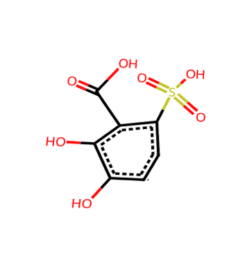 O=C(O)c1c(S(=O)(=O)O)c[c]c(O)c1O